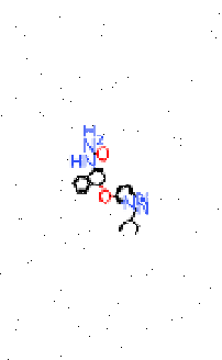 CCC(CC)c1nnc2ccc(O[C@@H]3CC[C@H](NC(N)=O)c4ccccc43)cn12